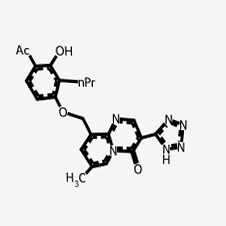 CCCc1c(OCc2cc(C)cn3c(=O)c(-c4nnn[nH]4)cnc23)ccc(C(C)=O)c1O